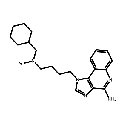 CC(=O)N(CCCCn1cnc2c(N)nc3ccccc3c21)CC1CCCCC1